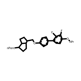 CCCCCC1CCC2C(COc3ccc(-c4ccc(OCCC)c(F)c4F)cc3)CCC12